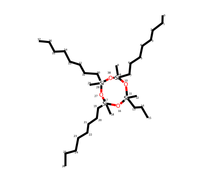 CCCCCCCC[Si]1(C)O[Si](C)(CCC)O[Si](C)(CCCCCCCC)O[Si](C)(CCCCCCCC)O1